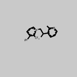 Cc1ncccc1C(C)C[n+]1cccc(C(C)C)c1C(F)(F)F